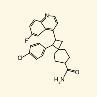 NC(=O)C1CCC2(CC1)CC(c1ccnc3ccc(F)cc13)C2c1ccc(Cl)cc1